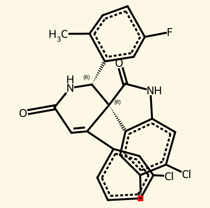 Cc1ccc(F)cc1[C@H]1NC(=O)C=C(c2cccc(Cl)c2)[C@]12C(=O)Nc1cc(Cl)c(F)cc12